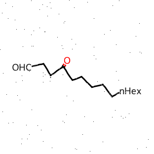 CCCCCCCCCCCC(=O)[CH]CC=O